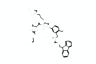 C=CCOC(=O)N[C@H](C(=O)N[C@@H](CCCNC(N)=O)C(=O)Nc1ccc(CO)c(CN(C)C(=O)OCC2c3ccccc3-c3ccccc32)c1)C(C)C